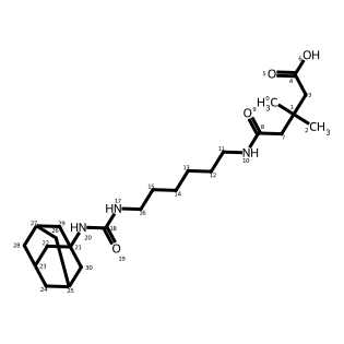 CC(C)(CC(=O)O)CC(=O)NCCCCCCNC(=O)NC12CC3CC(CC(C3)C1)C2